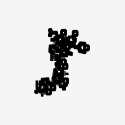 CCN(CC(=O)N[C@@H](CC(C)C)C(=O)N1CCC[C@@H]1C(=O)N(C)[C@@H](CC(C)C)C(=O)N[C@@H](C)C(=O)N(CC=O)CC1CCOCC1)C(=O)[C@H](C)NC(=O)[C@H](CC(C)C)N(C)C(=O)[C@H]1CCCN1C(=O)[C@H](C)NC